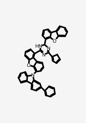 C1=CCC(C2=NC(c3cccc4c3oc3ccccc34)NC(c3cccc4oc5c(-n6c7ccccc7c7ccc(-c8ccccc8)cc76)cccc5c34)=N2)=C1